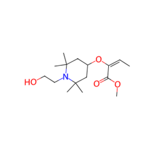 CC=C(OC1CC(C)(C)N(CCO)C(C)(C)C1)C(=O)OC